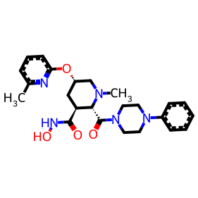 Cc1cccc(O[C@H]2C[C@H](C(=O)NO)[C@@H](C(=O)N3CCN(c4ccccc4)CC3)N(C)C2)n1